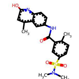 Cc1ccc(S(=O)(=O)N(C)C)cc1C(=O)Nc1ccc2nc(O)cc(C)c2c1